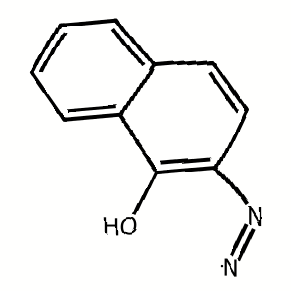 [N]=Nc1ccc2ccccc2c1O